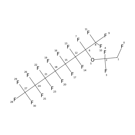 FCC(F)(F)OC(F)(C(F)(F)F)C(F)(F)C(F)(F)C(F)(F)C(F)(F)C(F)(F)C(F)(F)F